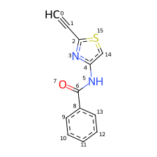 C#Cc1nc(NC(=O)c2ccccc2)cs1